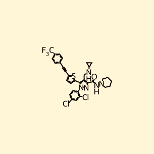 O=C(NN1CCCCC1)c1nn(-c2ccc(Cl)cc2Cl)c(-c2ccc(C#Cc3ccc(C(F)(F)F)cc3)s2)c1CNC1CC1